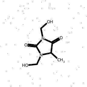 CC1C(=O)N(CO)C(=O)N1CO